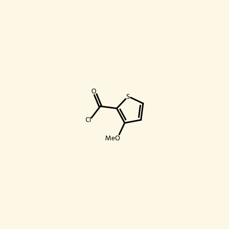 COc1ccsc1C(=O)Cl